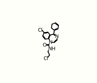 O=C(NCCCl)N1C=CN=C(C2=CC=CCC2)c2cc(Cl)ccc21